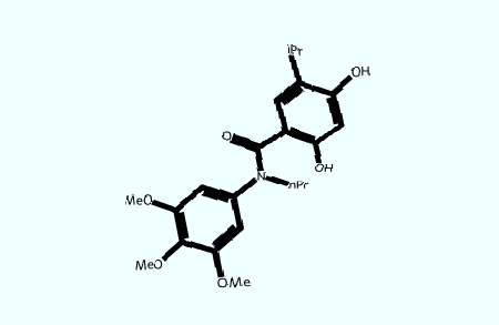 CCCN(C(=O)c1cc(C(C)C)c(O)cc1O)c1cc(OC)c(OC)c(OC)c1